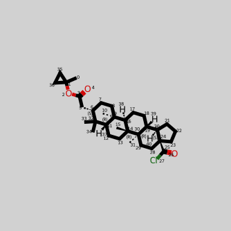 CC1(OC(=O)C[C@@H]2CC[C@]3(C)[C@H](CC[C@]4(C)[C@@H]3CC[C@@H]3[C@H]5CCC[C@]5(C(=O)Cl)CC[C@]34C)C2(C)C)CC1